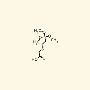 CO[Si](CCSCC(=O)O)(OC)OC